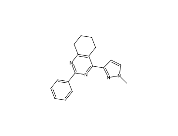 Cn1ccc(-c2nc(-c3ccccc3)nc3c2CCCC3)n1